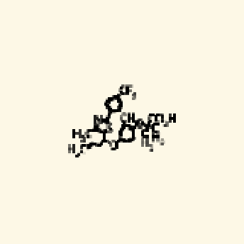 C=CCC(Oc1ccc(OC(C)(C)C(=O)O)c(C)c1)c1sc(-c2ccc(C(F)(F)F)cc2)nc1C